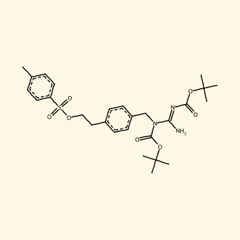 Cc1ccc(S(=O)(=O)OCCc2ccc(CN(C(=O)OC(C)(C)C)C(N)=NC(=O)OC(C)(C)C)cc2)cc1